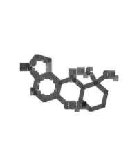 CCOC(=O)c1cnc2[nH]ccc2c1NC1CCCCC1(C)C